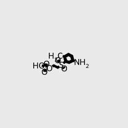 Cc1ccc(N)cc1S(=O)(=O)CCOS(=O)(=O)O